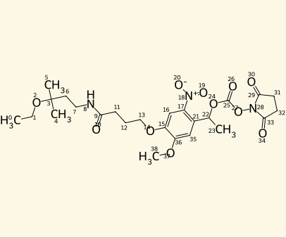 CCOC(C)(C)CCNC(=O)CCCOc1cc([N+](=O)[O-])c(C(C)OC(=O)ON2C(=O)CCC2=O)cc1OC